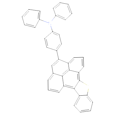 c1ccc(N(c2ccccc2)c2ccc(-c3cc4cccc5c6c7ccccc7sc6c6cccc3c6c45)cc2)cc1